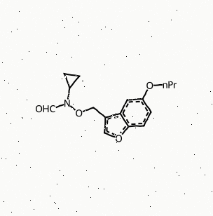 CCCOc1ccc2occ(CON(C=O)C3CC3)c2c1